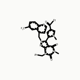 CCC(=O)c1cc(-c2c3c(=O)n(C)c(=O)n(CC(C)C)c3nn2Cc2ccnc3ccc(C(F)(F)F)cc23)n(C)c1